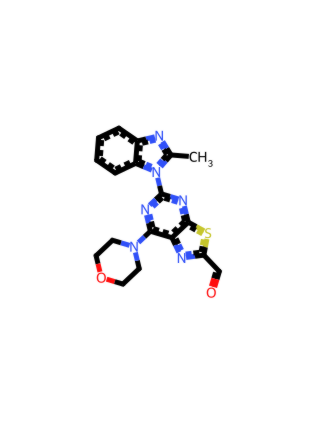 Cc1nc2ccccc2n1-c1nc(N2CCOCC2)c2nc(C=O)sc2n1